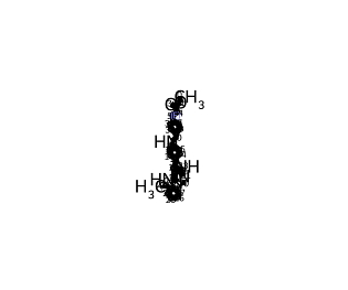 COC(=O)/C=C/c1ccc(CNc2ccc(-c3cc4c(N[C@H](C)c5ccccc5)ncnc4[nH]3)cc2)cc1